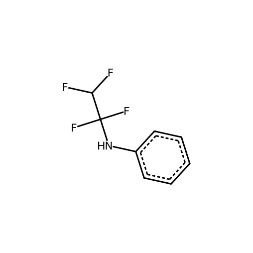 FC(F)C(F)(F)Nc1ccccc1